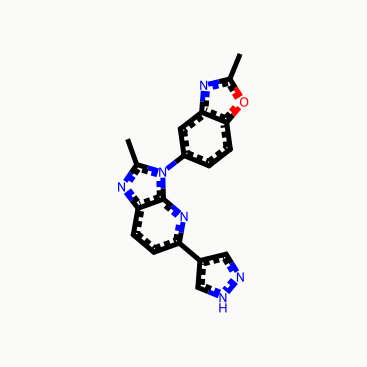 Cc1nc2cc(-n3c(C)nc4ccc(-c5cn[nH]c5)nc43)ccc2o1